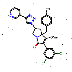 COC1=C(c2cc(Cl)cc(Cl)c2)C(=O)N2C[C@@H](n3cc(-c4cccnc4)nn3)CC12Cc1ccc(C#N)cc1